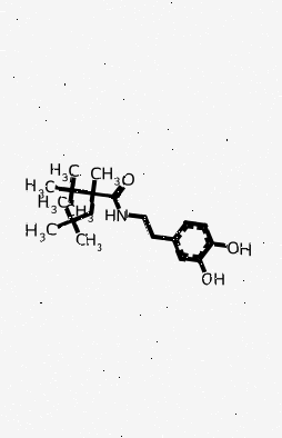 CC(C)(C)CC(C)(C(=O)NCCc1ccc(O)c(O)c1)C(C)(C)C